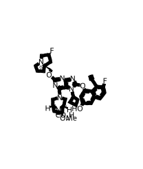 C#Cc1c(F)ccc2cc(O)cc(Oc3nc4nc(OC[C@@]56CCCN5C[C@H](F)C6)nc(N5C[C@H]6C[C@@H](OC)[C@@H](C5)N6C(=O)O)c4n3C3CCC3)c12